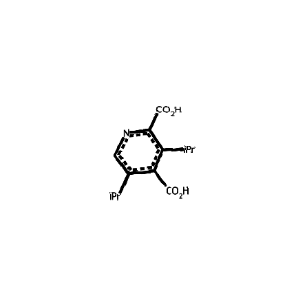 CC(C)c1cnc(C(=O)O)c(C(C)C)c1C(=O)O